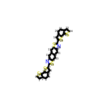 c1cc2ccc3cc(-c4nc5cc6cc7sc(-c8cc9ccc%10ccsc%10c9s8)nc7cc6cc5s4)sc3c2s1